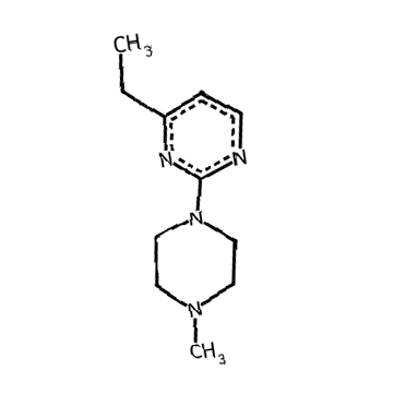 CCc1ccnc(N2CCN(C)CC2)n1